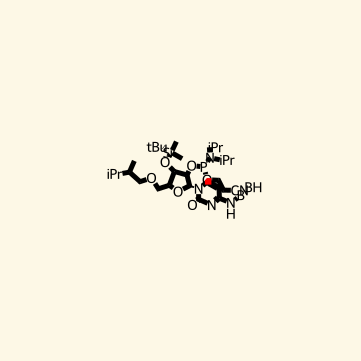 B=BNc1ccn([C@@H]2OC(COCC(C)C(C)C)C(O[Si](C)(C)C(C)(C)C)C2OP(OCCC#N)N(C(C)C)C(C)C)c(=O)n1